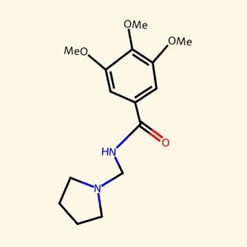 COc1cc(C(=O)NCN2CCCC2)cc(OC)c1OC